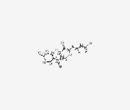 C=C(C)/N=C(\C)CN1CCN(C(=C)c2ccc(C)cc2)C(C)C1=C